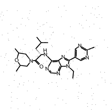 CCn1c(-c2cnc(C)nc2)nc2c(N[C@@H](CC(C)C)C(=O)N3CC(C)OC(C)C3)ncnc21